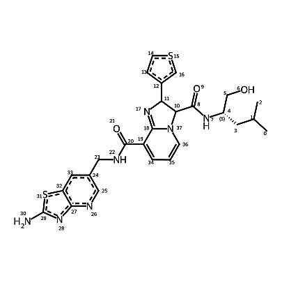 CC(C)C[C@@H](CO)NC(=O)C1C(c2ccsc2)N=C2C(C(=O)NCc3cnc4nc(N)sc4c3)=CC=CN21